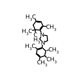 CC1=CC(C)=C(N2CCN(C3=C(C)C=C(C)C(C)[C@@H]3C)C2)C(C)(C)C1